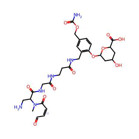 CN(C(=O)/C=C\C=O)C(CN)C(=O)NCC(=O)NCCC(=O)NCc1cc(COC(N)=O)ccc1OC1CC(O)CC(C(=O)O)O1